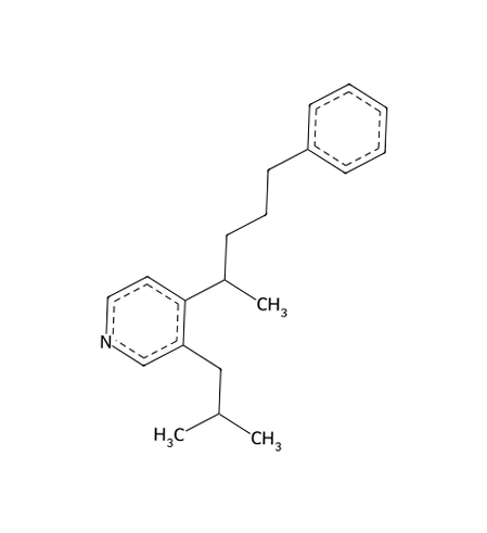 CC(C)Cc1cnccc1C(C)CCCc1ccccc1